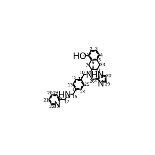 Oc1cccc2c1CC(N(Cc1ccc(CNCc3ccccn3)cc1)Cc1ncc[nH]1)CC2